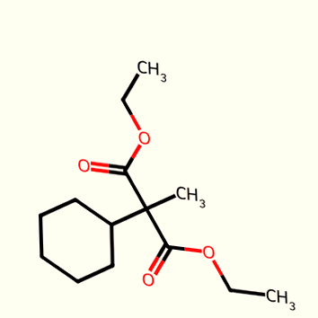 CCOC(=O)C(C)(C(=O)OCC)C1CCCCC1